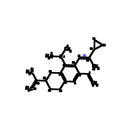 C=Cc1cc2c(c(B(C)N)c1/C=C(\C)C1CC1)CC(C(=C)C)CC2